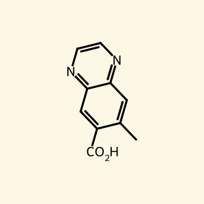 Cc1cc2nccnc2cc1C(=O)O